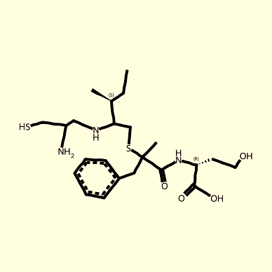 CC[C@H](C)C(CSC(C)(Cc1ccccc1)C(=O)N[C@H](CCO)C(=O)O)NCC(N)CS